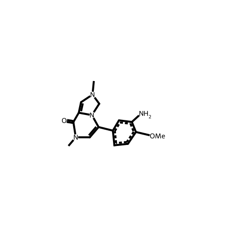 COc1ccc(C2=CN(C)C(=O)C3=CN(C)CN32)cc1N